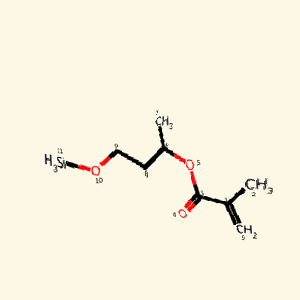 C=C(C)C(=O)OC(C)CCO[SiH3]